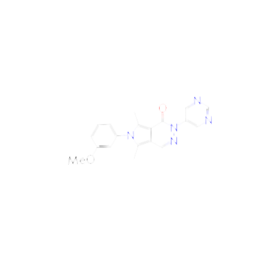 COc1cccc(-n2c(C)c3cnn(-c4cncnc4)c(=O)c3c2C)c1